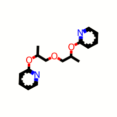 CC(COCC(C)Oc1ccccn1)Oc1ccccn1